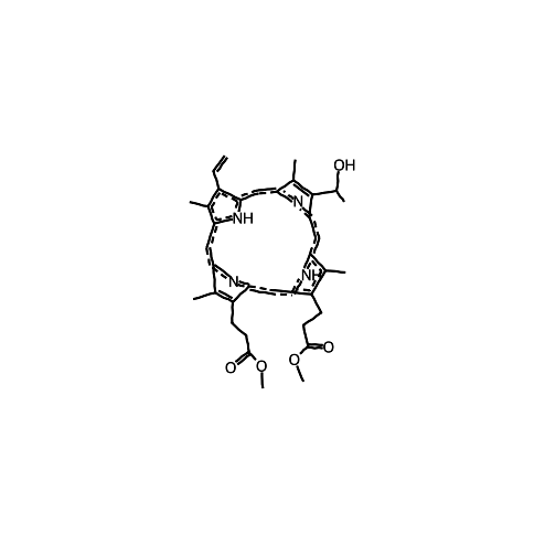 C=Cc1c(C)c2cc3nc(cc4[nH]c(cc5nc(cc1[nH]2)C(C)=C5C(C)O)c(C)c4CCC(=O)OC)C(CCC(=O)OC)=C3C